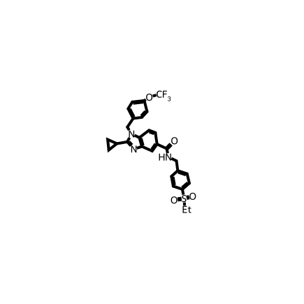 CCS(=O)(=O)c1ccc(CNC(=O)c2ccc3c(c2)nc(C2CC2)n3Cc2ccc(OC(F)(F)F)cc2)cc1